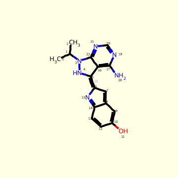 CC(C)N1N/C(=C2/C=c3cc(O)ccc3=N2)c2c(N)ncnc21